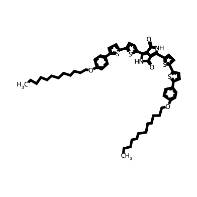 CCCCCCCCCCCCOc1ccc(-c2ccc(-c3ccc(C4=C5C(=O)NC(c6ccc(-c7ccc(-c8ccc(OCCCCCCCCCCCC)cc8)s7)s6)=C5C(=O)N4)s3)s2)cc1